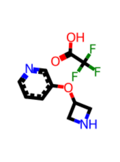 O=C(O)C(F)(F)F.c1cncc(OC2CNC2)c1